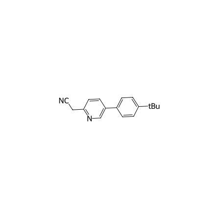 CC(C)(C)c1ccc(-c2ccc(CC#N)nc2)cc1